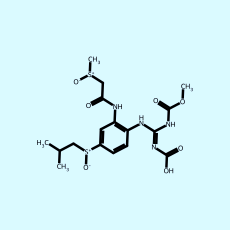 COC(=O)NC(=NC(=O)O)Nc1ccc([S+]([O-])CC(C)C)cc1NC(=O)C[S+](C)[O-]